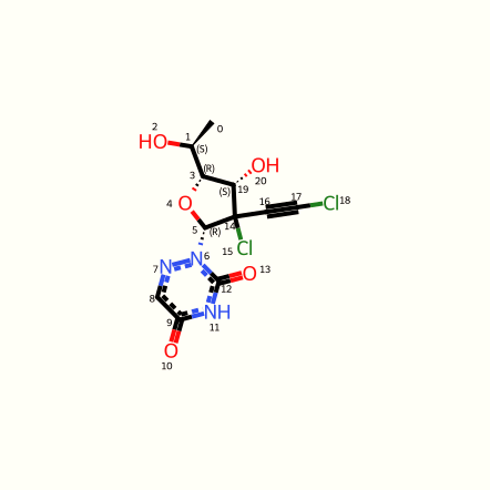 C[C@H](O)[C@H]1O[C@@H](n2ncc(=O)[nH]c2=O)C(Cl)(C#CCl)[C@H]1O